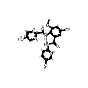 COc1cc(Cl)cc(C(=O)Nc2ccc(Cl)cn2)c1NC(=O)c1ncc(O)cn1